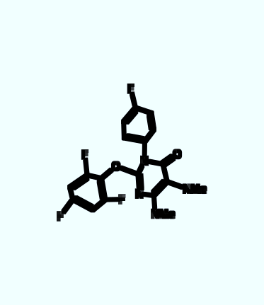 CNc1nc(Oc2c(F)cc(F)cc2F)n(-c2ccc(F)cc2)c(=O)c1NC